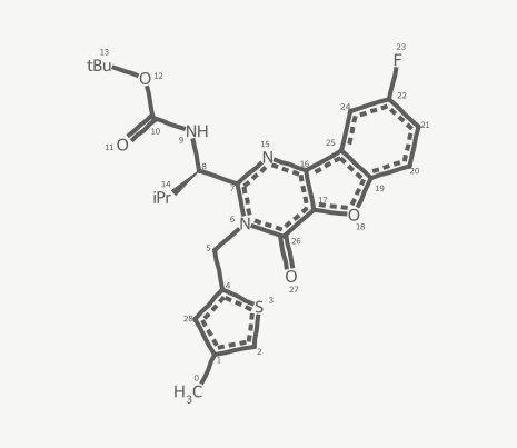 Cc1csc(Cn2c([C@H](NC(=O)OC(C)(C)C)C(C)C)nc3c(oc4ccc(F)cc43)c2=O)c1